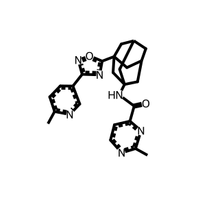 Cc1ccc(-c2noc(C34CC5CC(CC(NC(=O)c6ccnc(C)n6)(C5)C3)C4)n2)cn1